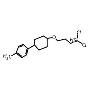 Cc1ccc(C2CCC(OCCC[SiH](Cl)Cl)CC2)cc1